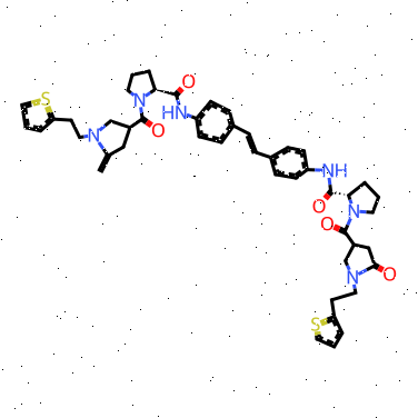 C=C1CC(C(=O)N2CCC[C@H]2C(=O)Nc2ccc(/C=C/c3ccc(NC(=O)[C@@H]4CCCN4C(=O)C4CC(=O)N(CCc5cccs5)C4)cc3)cc2)CN1CCc1cccs1